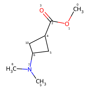 COC(=O)C1CC(N(C)C)C1